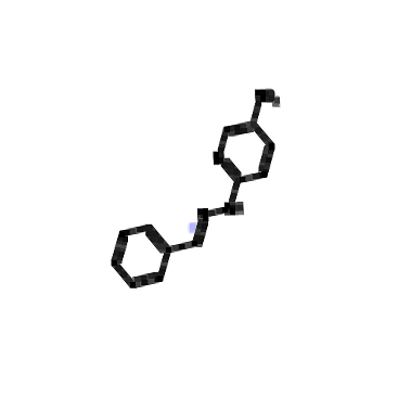 O=[N+]([O-])c1ccc(N/N=C/c2ccccc2)nc1